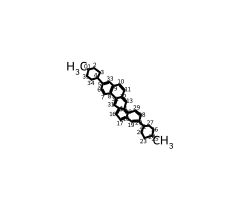 CC1CCC(c2ccc3c(ccc4cc5c(ccc6cc(C7CCC(C)CC7)ccc65)cc43)c2)CC1